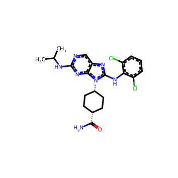 CC(C)Nc1ncc2nc(Nc3c(Cl)cccc3Cl)n([C@H]3CC[C@@H](C(N)=O)CC3)c2n1